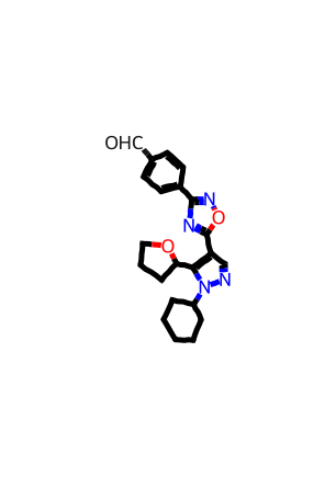 O=Cc1ccc(-c2noc(-c3cnn(C4CCCCC4)c3C3CCCO3)n2)cc1